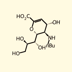 CCCCN[C@H]1[C@H]([C@H](O)[C@H](O)CO)OC(C(=O)O)=C[C@@H]1O